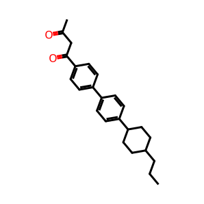 CCCC1CCC(c2ccc(-c3ccc(C(=O)CC(C)=O)cc3)cc2)CC1